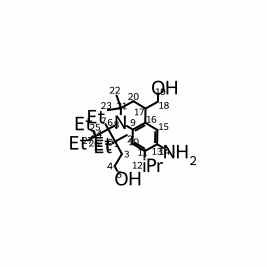 CCC(C)(CCO)C(CC)(N1c2cc(C(C)C)c(N)cc2C(CO)CC1(C)C)C(CC)(CC)CC